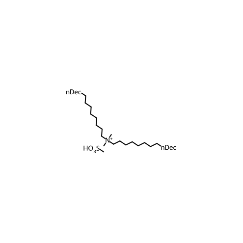 CCCCCCCCCCCCCCCCCC[N+](C)(C)CCCCCCCCCCCCCCCCCC.CS(=O)(=O)O